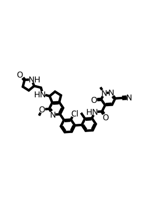 COc1nc(-c2cccc(-c3cccc(NC(=O)c4cc(C#N)nn(C)c4=O)c3C)c2Cl)cc2c1C(NCC1CCC(=O)N1)CC2